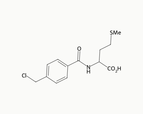 CSCCC(NC(=O)c1ccc(CCl)cc1)C(=O)O